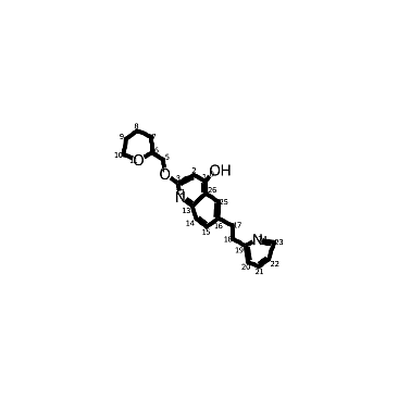 Oc1cc(OCC2CCCCO2)nc2ccc(CCc3ccccn3)cc12